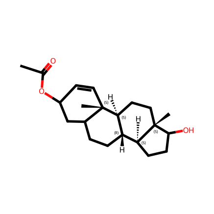 CC(=O)OC1C=C[C@@]2(C)C(CC[C@@H]3[C@@H]2CC[C@]2(C)C(O)CC[C@@H]32)C1